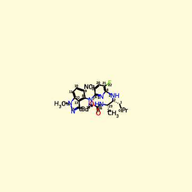 CC(C)C[C@@H](Nc1nc(Nc2cccc3c2cnn3C)c(C#N)cc1F)[C@H](C)NC(=O)OC(C)(C)C